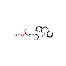 CCOC(=O)CCN1CCC(CN2c3ccccc3CCc3ccccc32)C1